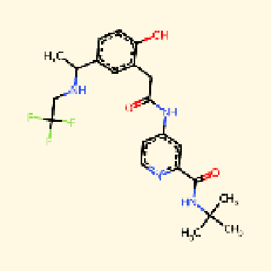 CC(NCC(F)(F)F)c1ccc(O)c(CC(=O)Nc2ccnc(C(=O)NC(C)(C)C)c2)c1